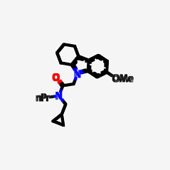 CCCN(CC1CC1)C(=O)Cn1c2c(c3ccc(OC)cc31)CCCC2